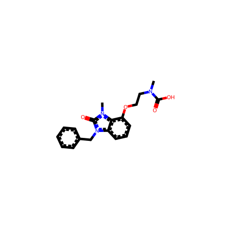 CN(CCOc1cccc2c1n(C)c(=O)n2Cc1ccccc1)C(=O)O